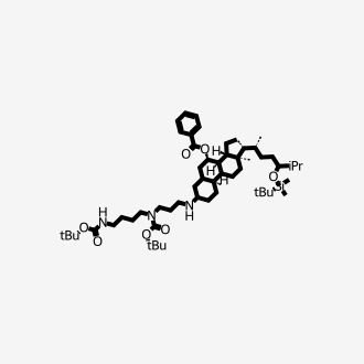 CC(C)C(CC[C@@H](C)[C@H]1CC[C@H]2[C@@H]3[C@H](OC(=O)c4ccccc4)CC4CC(NCCCN(CCCCNC(=O)OC(C)(C)C)C(=O)OC(C)(C)C)CC[C@]4(C)[C@H]3CC[C@]12C)O[Si](C)(C)C(C)(C)C